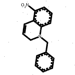 O=[N+]([O-])c1cccc2c1C=CCN2Cc1ccccc1